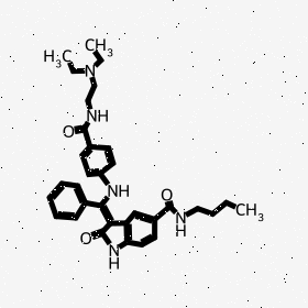 CCCCNC(=O)c1ccc2c(c1)C(=C(Nc1ccc(C(=O)NCCN(CC)CC)cc1)c1ccccc1)C(=O)N2